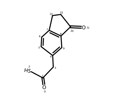 O=C(S)Cc1ccc2c(c1)C(=O)CC2